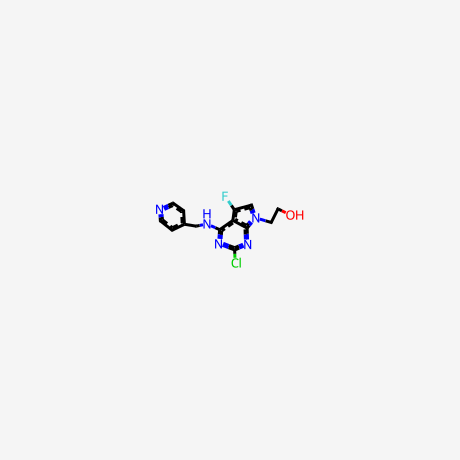 OCCn1cc(F)c2c(NCc3ccncc3)nc(Cl)nc21